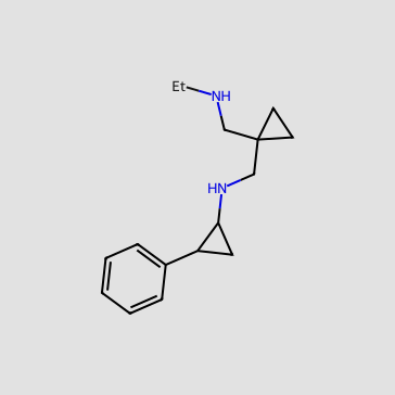 CCNCC1(CNC2CC2c2ccccc2)CC1